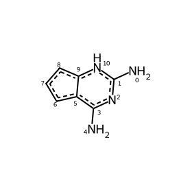 Nc1nc(N)c2cccc-2[nH]1